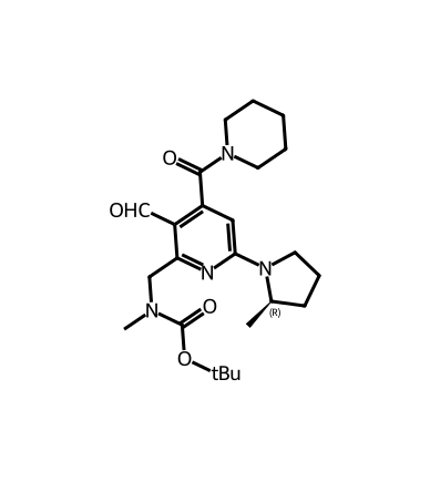 C[C@@H]1CCCN1c1cc(C(=O)N2CCCCC2)c(C=O)c(CN(C)C(=O)OC(C)(C)C)n1